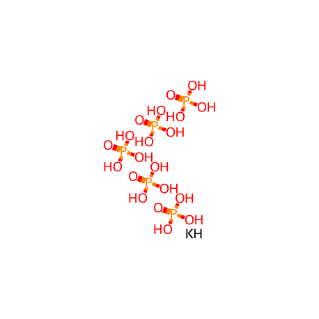 O=P(O)(O)O.O=P(O)(O)O.O=P(O)(O)O.O=P(O)(O)O.O=P(O)(O)O.[KH]